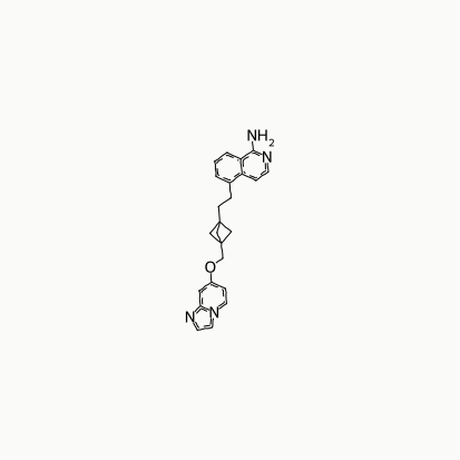 Nc1nccc2c(CCC34CC(COc5ccn6ccnc6c5)(C3)C4)cccc12